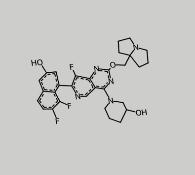 Oc1cc(-c2ncc3c(N4CCCC(O)C4)nc(OCC45CCCN4CCC5)nc3c2F)c2c(F)c(F)ccc2c1